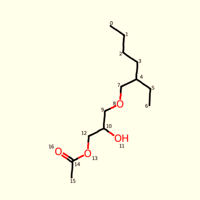 CCCCC(CC)COCC(O)COC(C)=O